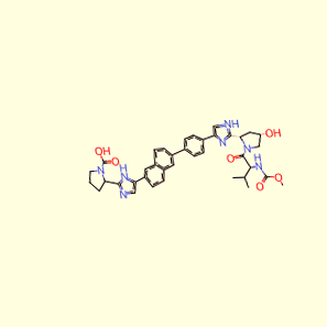 COC(=O)N[C@H](C(=O)N1C[C@@H](O)C[C@H]1c1nc(-c2ccc(-c3ccc4cc(-c5cnc(C6CCCN6C(=O)O)[nH]5)ccc4c3)cc2)c[nH]1)C(C)C